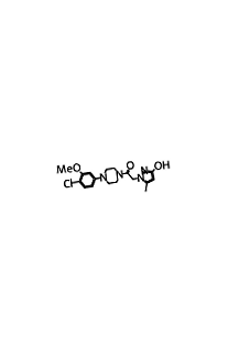 COc1cc(N2CCN(C(=O)Cn3nc(O)cc3C)CC2)ccc1Cl